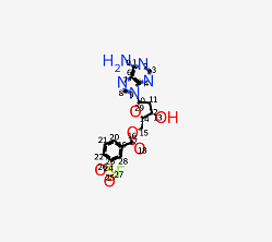 Nc1ncnc2c1ncn2[C@H]1C[C@H](O)[C@@H](COC(=O)c2cccc(S(=O)(=O)F)c2)O1